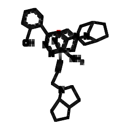 Nc1nnc(-c2ccccc2O)cc1N1CC2CCC(C1)N2c1ccnc(C#CCN2CCC3CCCC32)c1